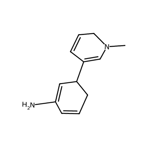 CN1C=C(C2C=C(N)C=CC2)C=CC1